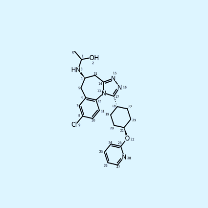 CC(O)N[C@@H]1Cc2cc(Cl)ccc2-n2c(nnc2[C@H]2CC[C@H](Oc3ccccn3)CC2)C1